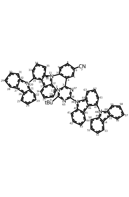 CC(C)(C)c1nc(-c2cc(C#N)ccc2-n2c3ccccc3c3c(-n4c5ccccc5c5ccccc54)cccc32)nc(-n2c3ccccc3c3c(-n4c5ccccc5c5ccccc54)cccc32)n1